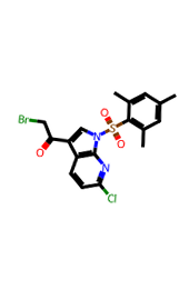 Cc1cc(C)c(S(=O)(=O)n2cc(C(=O)CBr)c3ccc(Cl)nc32)c(C)c1